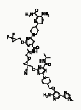 CC(C)NC(=O)c1nc(OCC2(C#N)CC2OC[C@@H](C)NC(=O)c2cc(N3CCC(c4ccc(N)c(C(N)=O)n4)CC3)nc(OCC3CC3(F)F)n2)nc(N2CCC(COc3cc(-c4cn(C)cn4)cnc3N)CC2)n1